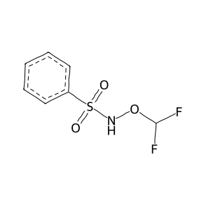 O=S(=O)(NOC(F)F)c1ccccc1